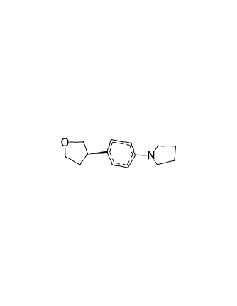 c1cc(N2CCCC2)ccc1[C@H]1CCOC1